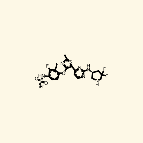 Cc1nc(Oc2ccc(NS(=O)(=O)C(C)C)c(F)c2F)c(-c2ccnc(N[C@@H]3CNCC(F)(F)C3)n2)s1